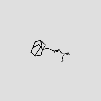 CC(C)(C)[S@+]([O-])N=CCC12CC3CC(CC(C3)C1)C2